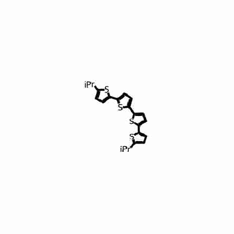 CC(C)c1ccc(-c2ccc(-c3ccc(-c4ccc(C(C)C)s4)s3)s2)s1